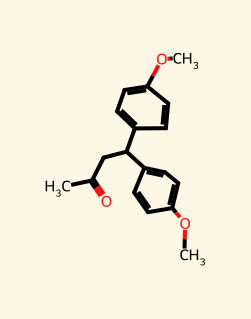 COc1ccc(C(CC(C)=O)c2ccc(OC)cc2)cc1